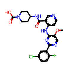 COc1cnc(-c2cc(Cl)ccc2F)nc1Nc1ccncc1C(=O)NC1CCN(C(=O)O)CC1